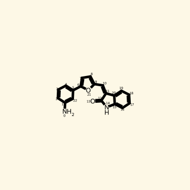 Nc1cccc(-c2ccc(C=C3C(=O)Nc4ccccc43)o2)c1